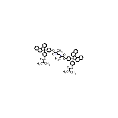 C=C(C)C(=O)Oc1ccc(C2(c3ccc(OC(=O)/C(C)=C/C=C(\C)C(=O)Oc4ccc(C5(c6ccc(OC(=O)C(=C)C)cc6)c6ccc7ccccc7c6-c6c5ccc5ccccc65)cc4)cc3)c3ccccc3-c3c2ccc2ccccc32)cc1